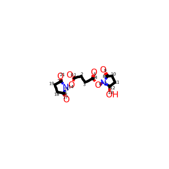 O=C(CCC(=O)ON1C(=O)CCC1O)ON1C(=O)CCC1=O